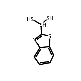 S[SH](S)c1nc2ccccc2s1